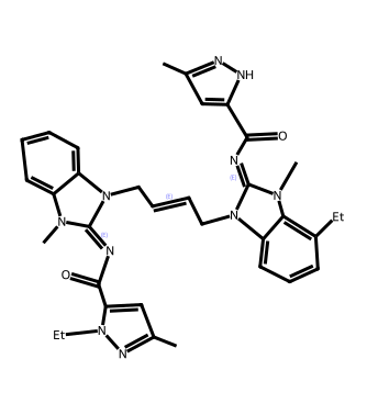 CCc1cccc2c1n(C)/c(=N\C(=O)c1cc(C)n[nH]1)n2C/C=C/Cn1/c(=N/C(=O)c2cc(C)nn2CC)n(C)c2ccccc21